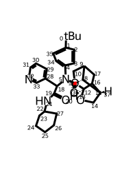 CC(C)(C)c1ccc(N(C(=O)[C@@H]2C3CO[C@@H]4OC[C@H]2C4C3)C(C(=O)NC2CCCCC2)c2cccnc2)cc1